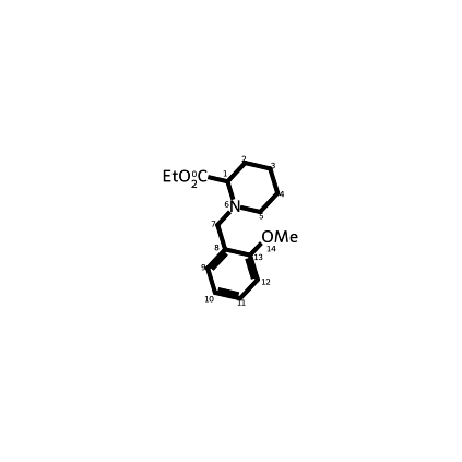 CCOC(=O)C1CCCCN1Cc1ccccc1OC